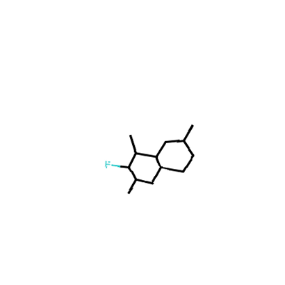 CC1CCC2CC(C)C(F)C(C)C2C1